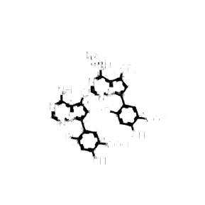 Cc1cc(F)c(-c2cc(C(F)(F)F)c3c(N)ncnn23)cc1C(=O)[O-].Cc1cc(F)c(-c2cc(C(F)(F)F)c3c(N)ncnn23)cc1C(=O)[O-].[Na+].[Na+]